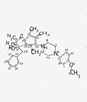 COc1ccc(N2CCN(c3c(C)c(C)c4c(c3C)C(O)(Cc3ccccc3)C(C)(C)O4)CC2)cc1